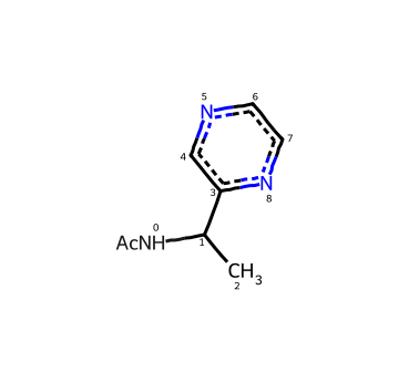 CC(=O)NC(C)c1cnccn1